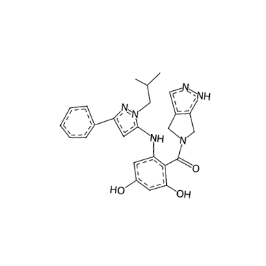 CC(C)Cn1nc(-c2ccccc2)cc1Nc1cc(O)cc(O)c1C(=O)N1Cc2cn[nH]c2C1